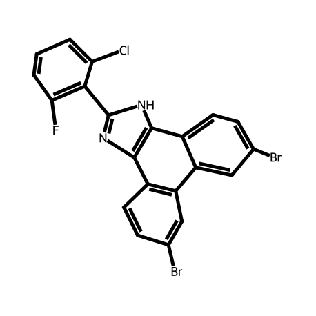 Fc1cccc(Cl)c1-c1nc2c3ccc(Br)cc3c3cc(Br)ccc3c2[nH]1